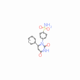 NS(=O)(=O)c1ccc(-n2c(-c3ccccc3)cc(=O)[nH]c2=O)cc1